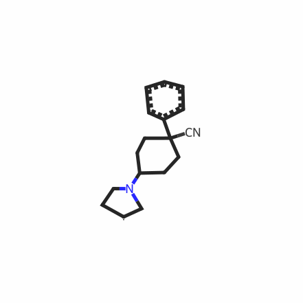 N#CC1(c2ccccc2)CCC(N2C[CH]CC2)CC1